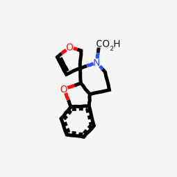 O=C(O)N1CCC2c3ccccc3OC2C12C=COC2